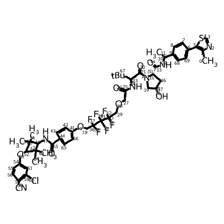 Cc1ncsc1-c1ccc([C@H](C)NC(=O)[C@@H]2C[C@@H](O)CN2C(=O)C(NC(=O)COCC(F)(F)C(F)(F)C(F)(F)COc2ccc(C(=O)NC3C(C)(C)C(Oc4ccc(C#N)c(Cl)c4)C3(C)C)cc2)C(C)(C)C)cc1